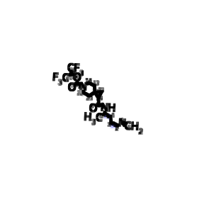 C=N/C=C\C=C(/C)NC(=O)C1CC12CCN(C(=O)OC(C(F)(F)F)C(F)(F)F)CC2